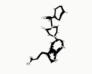 CC(=O)/C=C/c1c[nH]c2ncc(N3CCN(C(=O)C4CCCC4)CC3)cc12